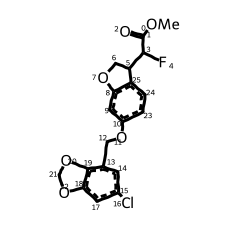 COC(=O)C(F)C1COc2cc(OCc3cc(Cl)cc4c3OCO4)ccc21